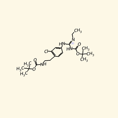 CC/N=C(/NC(=O)OC(C)(C)C)Nc1ccc(CCNC(=O)OC(C)(C)C)c(Cl)c1